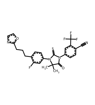 CC1(C)C(=O)N(c2ccc(C#N)c(C(F)(F)F)c2)C(=S)N1c1ccc(CCCc2ncco2)c(F)c1